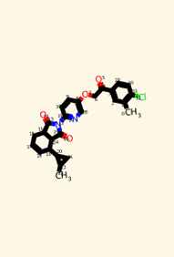 Cc1cc(C(=O)COc2ccc(N3C(=O)C4CC=CC(C5CC5C)C4C3=O)nc2)ccc1Cl